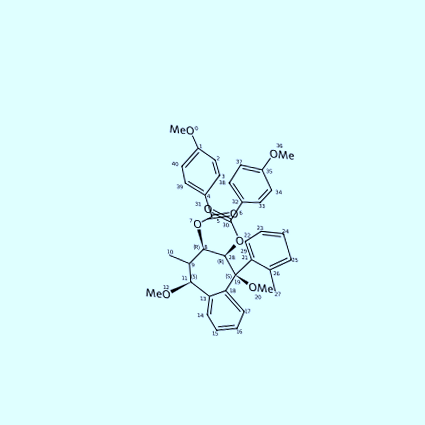 COc1ccc(C(=O)O[C@@H]2C(C)[C@H](OC)c3ccccc3[C@@](OC)(c3ccccc3C)[C@@H]2OC(=O)c2ccc(OC)cc2)cc1